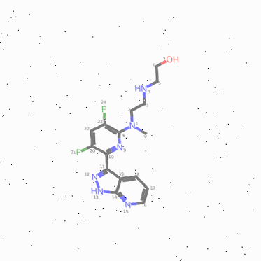 CN(CCNCCO)c1nc(-c2n[nH]c3ncccc23)c(F)cc1F